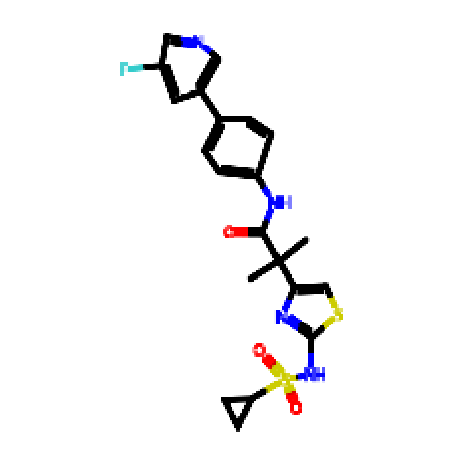 CC(C)(C(=O)Nc1ccc(-c2cncc(F)c2)cc1)c1csc(NS(=O)(=O)C2CC2)n1